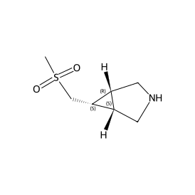 CS(=O)(=O)C[C@@H]1[C@@H]2CNC[C@@H]21